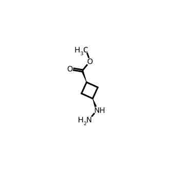 COC(=O)[C@H]1C[C@@H](NN)C1